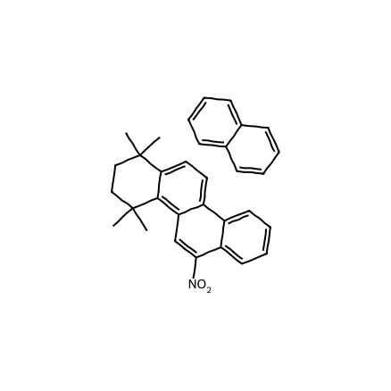 CC1(C)CCC(C)(C)c2c1ccc1c2cc([N+](=O)[O-])c2ccccc21.c1ccc2ccccc2c1